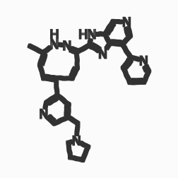 Cc1ccc(-c2cncc(CN3CCCC3)c2)ccc(-c2nc3c(-c4ccccn4)cncc3[nH]2)n[nH]1